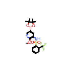 COc1ncc(B2OC(C)(C)C(C)(C)O2)cc1NS(=O)(=O)c1ccccc1C(F)(F)F